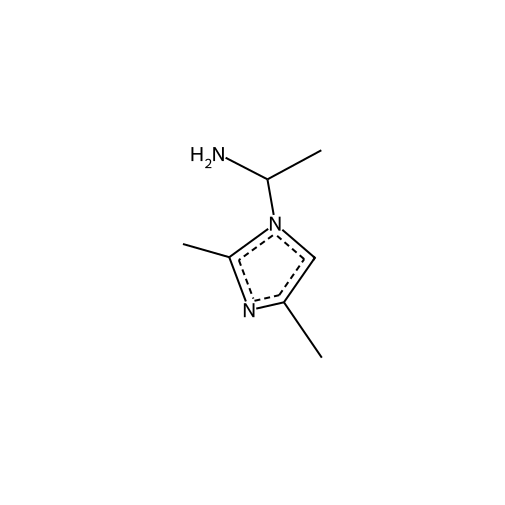 Cc1cn(C(C)N)c(C)n1